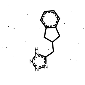 c1ccc2c(c1)CC(Cc1nnn[nH]1)C2